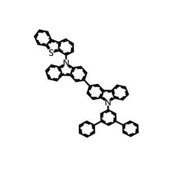 c1ccc(-c2cc(-c3ccccc3)cc(-n3c4ccccc4c4cc(-c5ccc6c(c5)c5ccccc5n6-c5cccc6c5sc5ccccc56)ccc43)c2)cc1